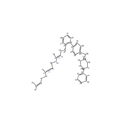 CC(C)=CCC/C(C)=C/CC/C(C)=C/CSc1[c]cccc1-c1ccc(CN2CCN(c3ccccc3)CC2)cc1